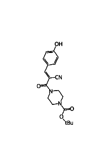 CC(C)(C)OC(=O)N1CCN(C(=O)/C(C#N)=C/c2ccc(O)cc2)CC1